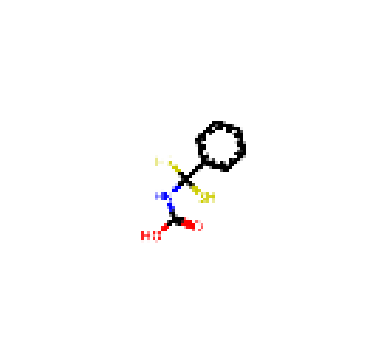 O=C(O)NC(S)(S)c1ccccc1